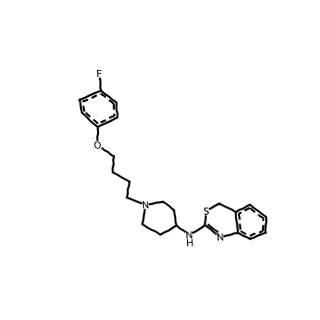 Fc1ccc(OCCCCN2CCC(NC3=Nc4ccccc4CS3)CC2)cc1